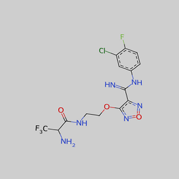 N=C(Nc1ccc(F)c(Cl)c1)c1nonc1OCCNC(=O)C(N)C(F)(F)F